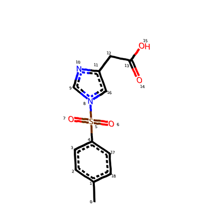 Cc1ccc(S(=O)(=O)n2cnc(CC(=O)O)c2)cc1